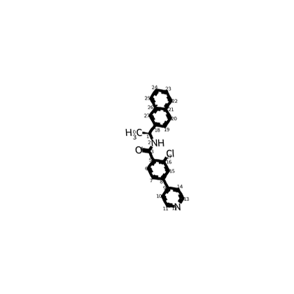 C[C@H](NC(=O)c1ccc(-c2ccncc2)cc1Cl)c1ccc2ccccc2c1